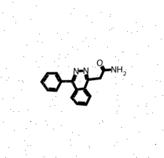 NC(=O)Cc1nnc(-c2ccccc2)c2ccccc12